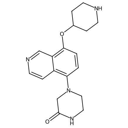 O=C1CN(c2ccc(OC3CCNCC3)c3cnccc23)CCN1